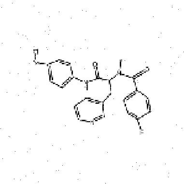 CN(C(=O)c1ccc(F)cc1)C(Cc1cccnc1)C(=O)Nc1ccc(SCl)cc1